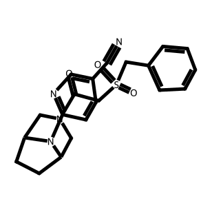 N#Cc1ccc(N2C3CCC2CN(C(=O)CS(=O)(=O)Cc2ccccc2)C3)nc1